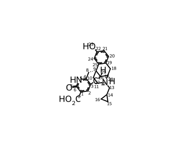 O=C(O)c1cc2c([nH]c1=O)C[C@]13CCN(CC4CC4)[C@H](Cc4ccc(O)cc41)[C@@H]3C2